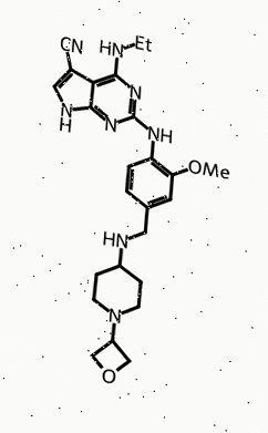 CCNc1nc(Nc2ccc(CNC3CCN(C4COC4)CC3)cc2OC)nc2[nH]cc(C#N)c12